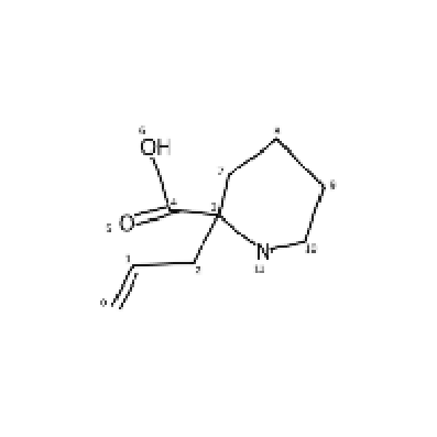 C=CCC1(C(=O)O)CCCC[N]1